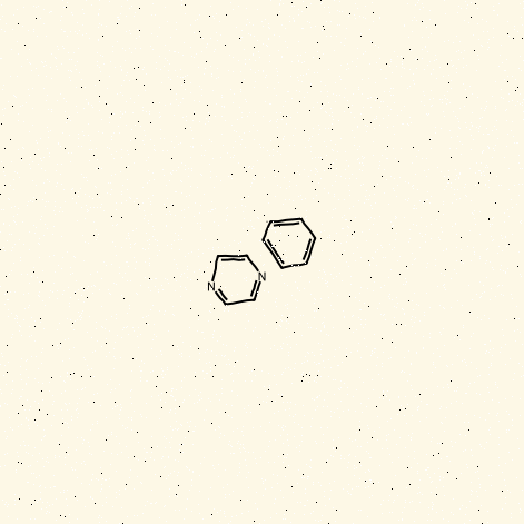 [c]1ccccc1.c1cnccn1